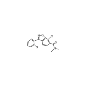 CN(C)C(=S)c1ccc2c(-c3ccccc3F)noc2c1Cl